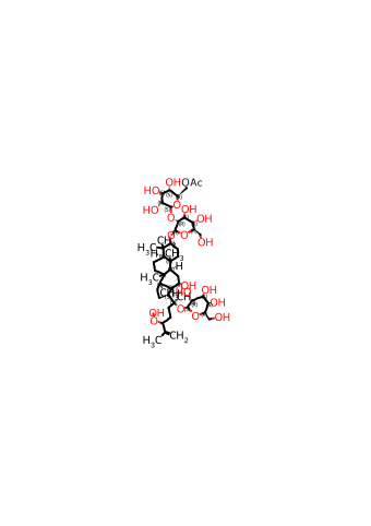 C=C(C)C(CC[C@](C)(O[C@@H]1O[C@H](CO)[C@@H](O)[C@H](O)[C@H]1O)[C@H]1CC[C@]2(C)[C@@H]1[C@H](O)C[C@@H]1[C@@]3(C)CC[C@H](O[C@@H]4O[C@H](CO)[C@@H](O)[C@H](O)[C@H]4O[C@@H]4O[C@H](COC(C)=O)[C@@H](O)[C@H](O)[C@H]4O)C(C)(C)[C@@H]3CC[C@]12C)OO